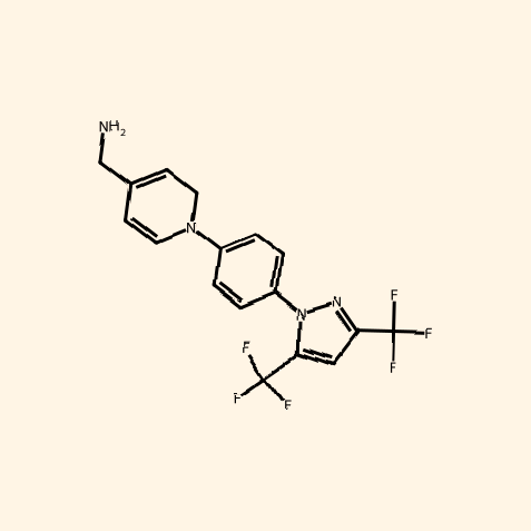 NCC1=CCN(c2ccc(-n3nc(C(F)(F)F)cc3C(F)(F)F)cc2)C=C1